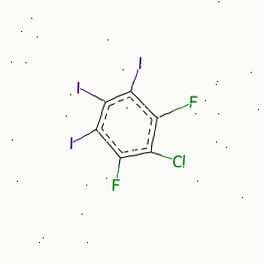 Fc1c(Cl)c(F)c(I)c(I)c1I